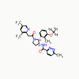 [2H]C([2H])([2H])Oc1cccc([C@@H]2[C@H](NC(=O)c3ccc(C)nn3)CCN2C(=O)Cc2ncc(C(F)(F)F)cc2C(F)(F)F)c1C